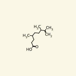 C=C(C)C(C)CCC(C)CCC(=O)O